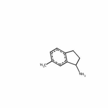 Cc1ccc2c(c1)C(N)CC2